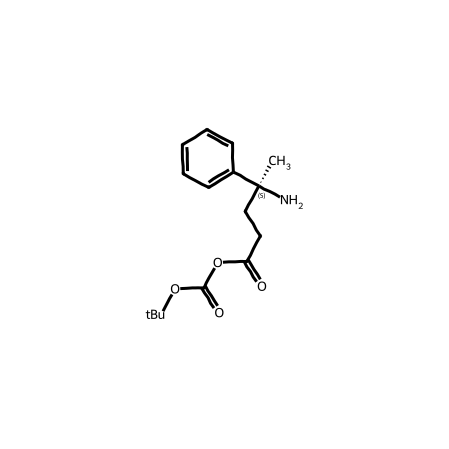 CC(C)(C)OC(=O)OC(=O)CC[C@](C)(N)c1ccccc1